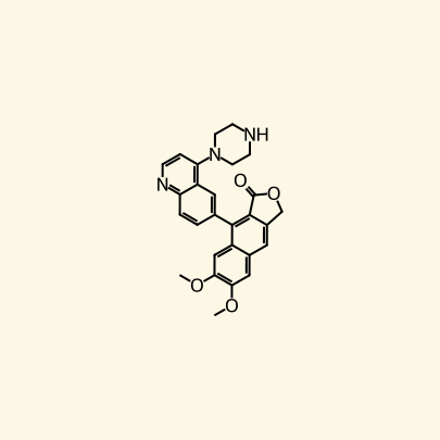 COc1cc2cc3c(c(-c4ccc5nccc(N6CCNCC6)c5c4)c2cc1OC)C(=O)OC3